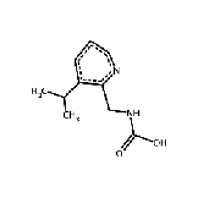 CC(C)c1cccnc1CNC(=O)O